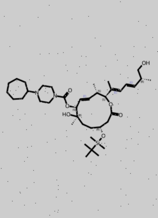 C/C(=C\C=C\[C@@H](C)CO)[C@H]1OC(=O)C[C@H](O[Si](C)(C)C(C)(C)C)CC[C@@](C)(O)[C@@H](OC(=O)N2CCN(C3CCCCCC3)CC2)/C=C/[C@@H]1C